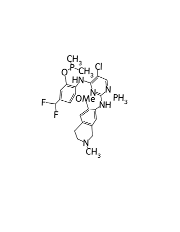 COc1cc2c(cc1Nc1ncc(Cl)c(Nc3ccc(C(F)F)cc3OP(C)C)n1)CN(C)CC2.P